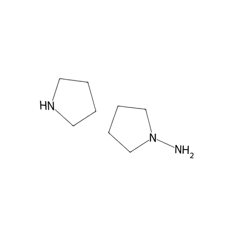 C1CCNC1.NN1CCCC1